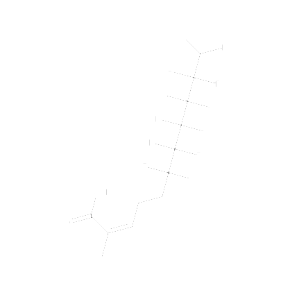 CC(=CCCC(F)(F)C(F)(F)C(F)(F)C(F)(F)C(F)(F)C(F)F)C(=O)O